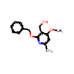 COc1cc(C)nc(OCc2ccccc2)c1CO